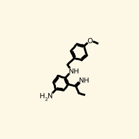 CCC(=N)c1cc(N)ccc1NCc1ccc(OC)cc1